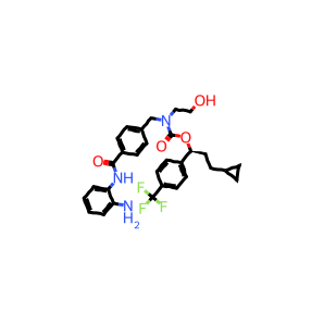 Nc1ccccc1NC(=O)c1ccc(CN(CCO)C(=O)O[C@@H](CCC2CC2)c2ccc(C(F)(F)F)cc2)cc1